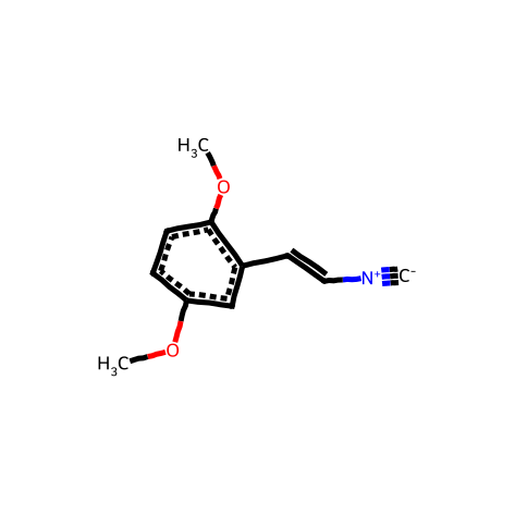 [C-]#[N+]/C=C/c1cc(OC)ccc1OC